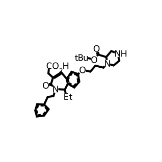 CCC1c2ccc(OCCCN3CCNCC3C(=O)OC(C)(C)C)cc2C=C(CC(=O)O)C(=O)N1CCc1ccccc1